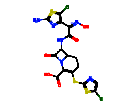 Nc1nc(/C(=N/O)C(=O)NC2C(=O)N3C(C(=O)O)=C(Sc4ncc(Cl)s4)CCC23)c(Cl)s1